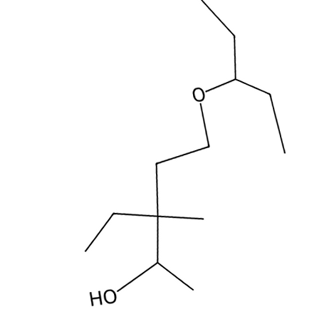 CCC(CC)OCCC(C)(CC)C(C)O